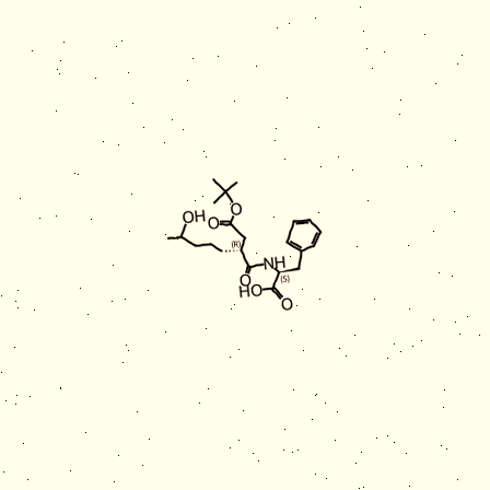 CC(O)CCC[C@H](CC(=O)OC(C)(C)C)C(=O)N[C@@H](Cc1ccccc1)C(=O)O